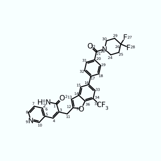 NC(=O)/C(=C\c1cccnc1)Cc1cc2cc(-c3ccc(C(=O)N4CCC(F)(F)CC4)cc3)cc(C(F)(F)F)c2o1